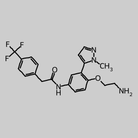 Cn1nccc1-c1cc(NC(=O)Cc2ccc(C(F)(F)F)cc2)ccc1OCCN